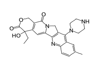 CCC1(O)C(=O)OCc2c1cc1n(c2=O)Cc2c-1nc1ccc(C)cc1c2N1CCNCC1